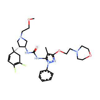 COCCN1C[C@@H](C2(C)C=CC(F)=C(F)C2)[C@H](NC(=O)Nc2c(C)c(OCCN3CCOCC3)nn2-c2ccccc2)C1